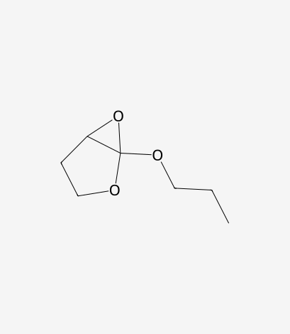 CCCOC12OCCC1O2